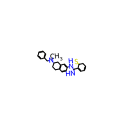 CN(Cc1ccccc1)C1CCc2ccc(NC(=N)C3=CC=CCC3=S)cc2C1